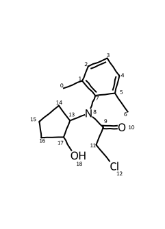 Cc1cccc(C)c1N(C(=O)CCl)C1CCCC1O